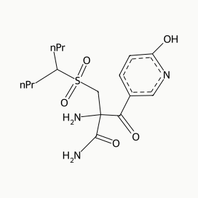 CCCC(CCC)S(=O)(=O)CC(N)(C(N)=O)C(=O)c1ccc(O)nc1